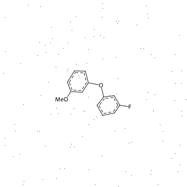 COc1cccc(Oc2c[c]cc(F)c2)c1